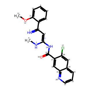 CN/C(=C\C(=N)c1ccccc1OC)NC(=O)c1cc2ncccc2cc1Cl